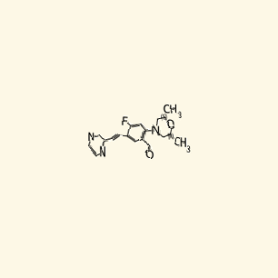 C[C@@H]1CN(c2cc(F)c(C#Cc3cnccn3)cc2C=O)C[C@H](C)O1